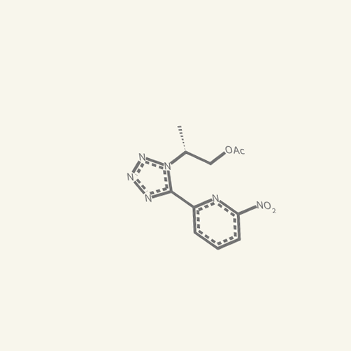 CC(=O)OC[C@@H](C)n1nnnc1-c1cccc([N+](=O)[O-])n1